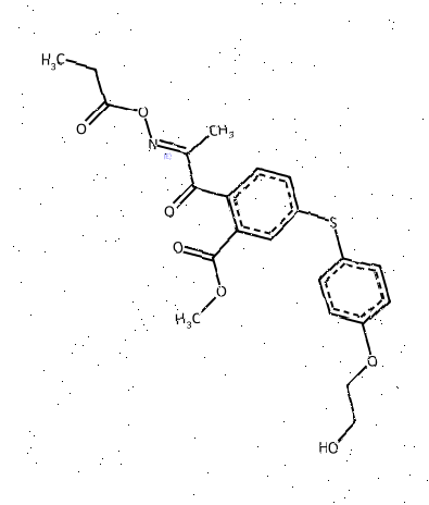 CCC(=O)O/N=C(\C)C(=O)c1ccc(Sc2ccc(OCCO)cc2)cc1C(=O)OC